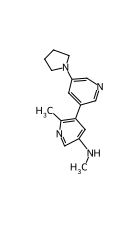 CNc1cnc(C)c(-c2cncc(N3CCCC3)c2)c1